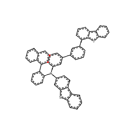 c1cc(-c2cccc(N(c3ccc4c(c3)sc3ccccc34)c3ccccc3-c3cccc4ccccc34)c2)cc(-c2cccc3c2sc2ccccc23)c1